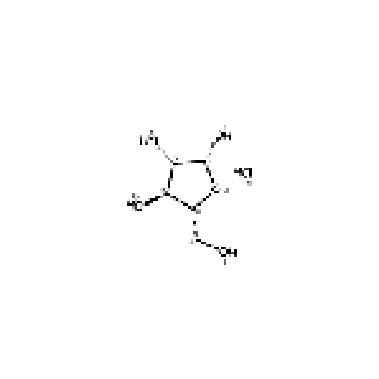 Cl.OC[C@H]1O[C@@H](O)[C@@H](O)[C@@H]1O